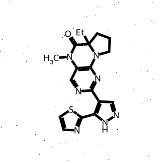 CCC12CCCN1c1nc(-c3cn[nH]c3-c3nccs3)ncc1N(C)C2=O